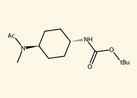 CC(=O)N(C)[C@H]1CC[C@H](NC(=O)OC(C)(C)C)CC1